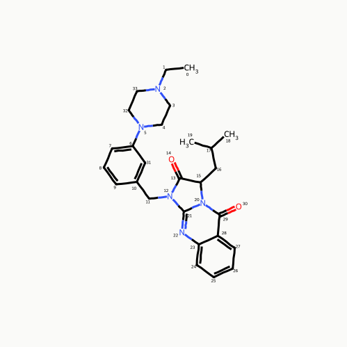 CCN1CCN(c2cccc(CN3C(=O)C(CC(C)C)n4c3nc3ccccc3c4=O)c2)CC1